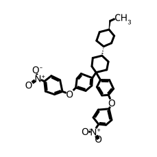 CC[C@H]1CC[C@H](C2CCC(c3ccc(Oc4ccc([N+](=O)[O-])cc4)cc3)(c3ccc(Oc4ccc([N+](=O)[O-])cc4)cc3)CC2)CC1